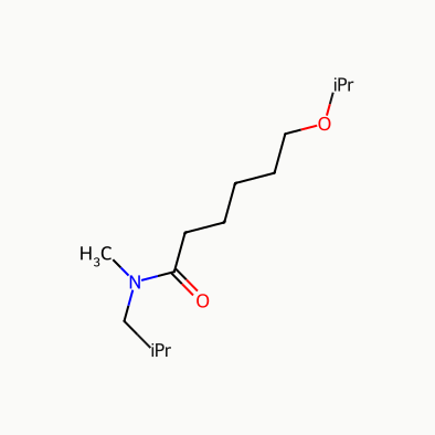 CC(C)CN(C)C(=O)CCCCCOC(C)C